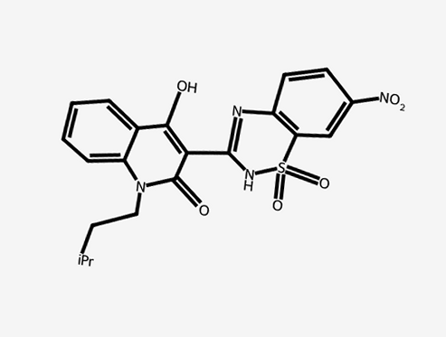 CC(C)CCn1c(=O)c(C2=Nc3ccc([N+](=O)[O-])cc3S(=O)(=O)N2)c(O)c2ccccc21